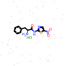 Cl.N[C@@H](Cc1ccccc1)C(=O)Nc1ncc([N+](=O)[O-])s1